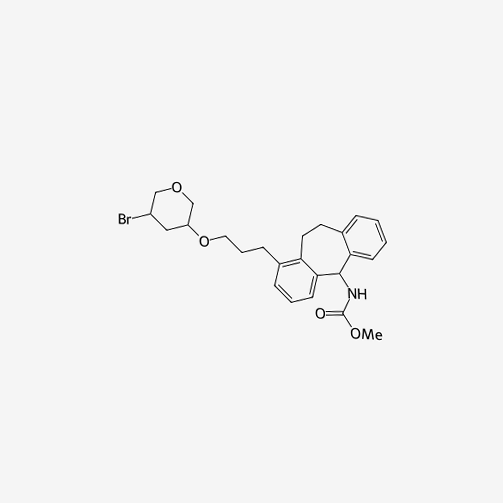 COC(=O)NC1c2ccccc2CCc2c(CCCOC3COCC(Br)C3)cccc21